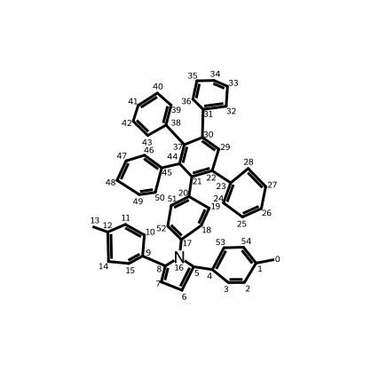 Cc1ccc(-c2ccc(-c3ccc(C)cc3)n2-c2ccc(-c3c(-c4ccccc4)cc(-c4ccccc4)c(-c4ccccc4)c3-c3ccccc3)cc2)cc1